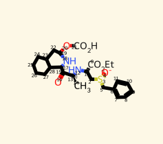 CCOC(=O)C(C[S+]([O-])Cc1ccccc1)N[C@@H](C)C(=O)C1NC(OC(=O)O)CC2CCCCC21